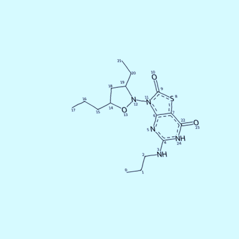 CCCNc1nc2c(sc(=O)n2N2OC(CCC)CC2CC)c(=O)[nH]1